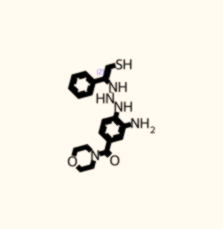 Nc1cc(C(=O)N2CCOCC2)ccc1NNN/C(=C\S)c1ccccc1